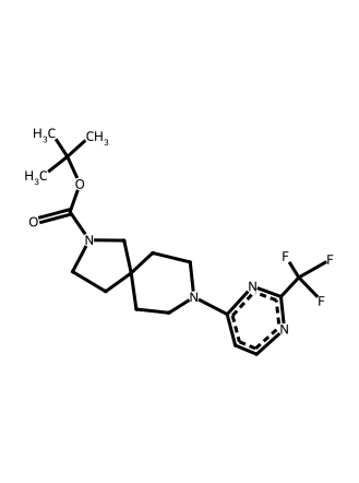 CC(C)(C)OC(=O)N1CCC2(CCN(c3ccnc(C(F)(F)F)n3)CC2)C1